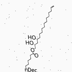 C=CCCCCCCCCCCC[C@@H](O)C[C@@H](O)COC(=O)CCCCCCCCCCCCCCC